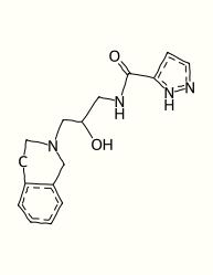 O=C(NCC(O)CN1CCc2ccccc2C1)c1ccn[nH]1